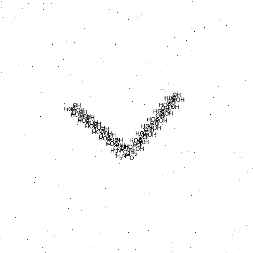 NC(N)=O.NC(N)=O.O=P(O)(O)O.O=P(O)(O)O.O=P(O)(O)O.O=P(O)(O)O.O=P(O)(O)O.O=P(O)(O)O.O=P(O)(O)O.O=P(O)(O)O.O=P(O)(O)O.O=P(O)(O)O.O=P(O)(O)O.O=P(O)(O)O.O=P(O)(O)O.O=P(O)(O)O.O=P(O)(O)O